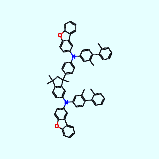 Cc1ccccc1-c1ccc(N(c2ccc(C3(C)CC(C)(C)c4ccc(N(c5ccc(-c6ccccc6C)c(C)c5)c5ccc6oc7ccccc7c6c5)cc43)cc2)c2ccc3oc4ccccc4c3c2)cc1C